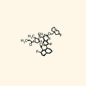 C#Cc1c(F)ccc2cccc(-c3ncc4c(N(C)[C@@H]5CCN(C(=O)C=C)[C@H]5C)nc(OC[C@@]56CCCN5C[C@H](F)C6)nc4c3F)c12